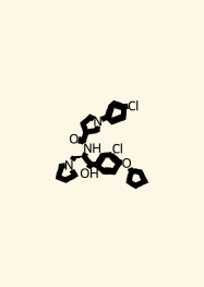 O=C(N[C@H](CN1CCCC1)C(O)c1ccc(OC2CCCC2)c(Cl)c1)C1CCN(c2ccc(Cl)cc2)C1